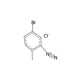 Cc1ccc(Br)cc1[N+]#N.[Cl-]